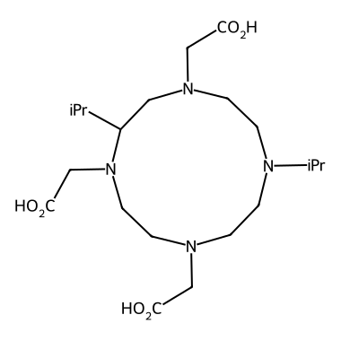 CC(C)C1CN(CC(=O)O)CCN(C(C)C)CCN(CC(=O)O)CCN1CC(=O)O